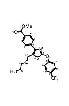 COC(=O)c1ccc(-c2nc(Oc3ccc(C(F)(F)F)cc3)sc2COCCO)cc1